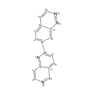 c1cc2nc(-c3ccc4ccnnc4c3)ccc2cn1